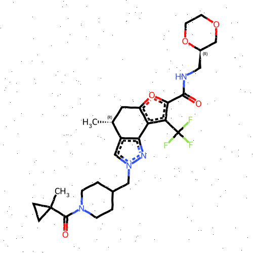 C[C@@H]1Cc2oc(C(=O)NC[C@@H]3COCCO3)c(C(F)(F)F)c2-c2nn(CC3CCN(C(=O)C4(C)CC4)CC3)cc21